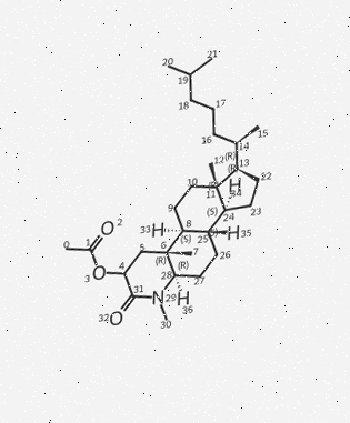 CC(=O)OC1C[C@]2(C)[C@H]3CC[C@]4(C)[C@@H]([C@H](C)CCCC(C)C)CC[C@H]4[C@@H]3CC[C@H]2N(C)C1=O